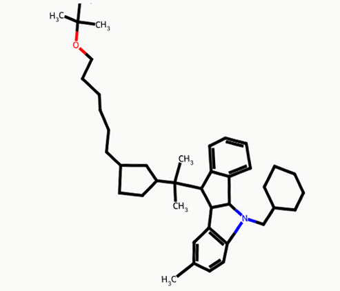 Cc1ccc2c(c1)C1C(c3ccccc3C1C(C)(C)C1CCC(CCCCCCOC(C)(C)C)C1)N2CC1CCCCC1